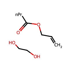 C=CCOC(=O)CCC.OCCO